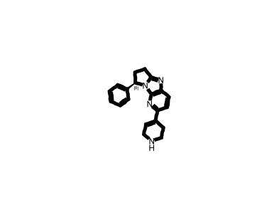 C1=C(c2ccc3nc4n(c3n2)[C@@H](c2ccccc2)CC4)CCNC1